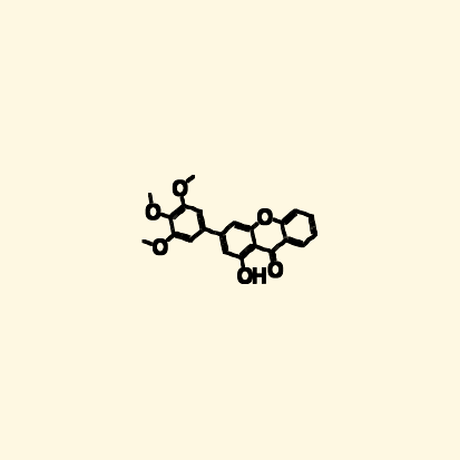 COc1cc(-c2cc(O)c3c(=O)c4ccccc4oc3c2)cc(OC)c1OC